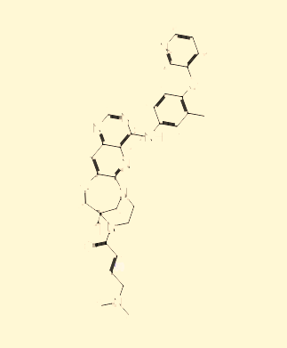 Cc1cc(Nc2ncnc3cc4c(nc23)N2CCN(C(=O)/C=C/CN(C)C)[C@H](CO4)C2)ccc1Oc1cccnc1